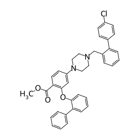 COC(=O)c1ccc(N2CCN(Cc3ccccc3-c3ccc(Cl)cc3)CC2)cc1Oc1ccccc1-c1ccccc1